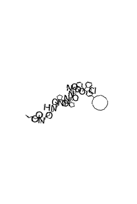 C=CCOC(=O)N(C)CCOCCNCC(=O)NC1(C(=O)N(C)[C@H](C(=O)N(C)[C@@H](CC(=O)OC(c2ccccc2)(c2ccc(C3CCCCCCCCCCCCCC3)cc2)c2ccccc2Cl)C(=O)N(C)C)C2CCCC2)CCCC1